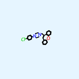 Clc1ccc(N2CCN(CC3=Cc4ccccc4Oc4ccccc43)CC2)cc1